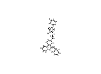 Cc1cccc(-c2nc(COCC3CCCC(N(Cc4ccccc4)CC4C=CC=CC4)C3)c(C)o2)c1